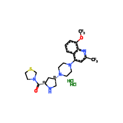 Cl.Cl.O=C([C@@H]1C[C@H](N2CCN(c3cc(C(F)(F)F)nc4c(OC(F)(F)F)cccc34)CC2)CN1)N1CCSC1